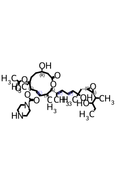 CCC(O)C(C)[C@@H]1O[C@H]1CC(C)(O)/C=C/C=C(\C)[C@H]1OC(=O)C[C@H](O)CC[C@@](C)(OC(C)=O)[C@@H](OC(=O)N2CCNCC2)/C=C/[C@@H]1C